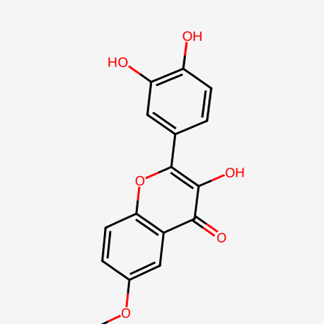 COc1ccc2oc(-c3ccc(O)c(O)c3)c(O)c(=O)c2c1